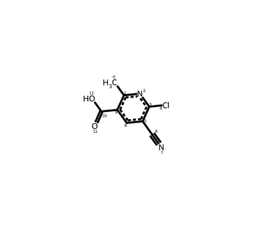 Cc1nc(Cl)c(C#N)cc1C(=O)O